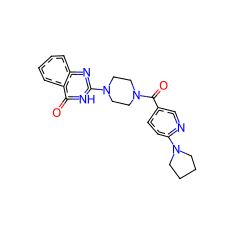 O=C(c1ccc(N2CCCC2)nc1)N1CCN(c2nc3ccccc3c(=O)[nH]2)CC1